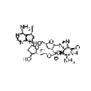 Nc1nc2c(ncn2[C@@H]2O[C@H](CO)[C@@H](F)[C@H]2P(=O)(O)OCC[C@H]2O[C@@H](n3cc(F)c4c(N)ncnc43)C[C@@H]2O)c(=O)[nH]1